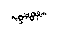 CC(C)Oc1ccc(-c2nnc(-c3cccc4c3CCC[C@@H]4NC(=O)OC(C)(C)C)s2)cc1C#N